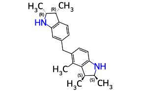 Cc1c(Cc2ccc3c(c2)N[C@H](C)[C@@H]3C)ccc2c1[C@H](C)[C@H](C)N2